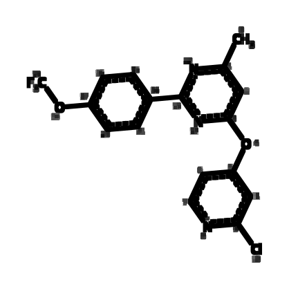 Cc1cc(Oc2ccnc(Cl)c2)nc(-c2ccc(OC(F)(F)F)cc2)n1